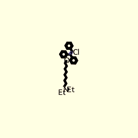 CCN(CC)CCCCCCCCCOc1ccccc1/C(=C(/Cl)c1ccccc1)c1ccccc1